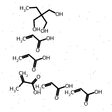 C=C(C)C(=O)O.C=CC(=O)O.C=CC(=O)O.C=CC(=O)O.C=CC(=O)O.CCC(CO)(CO)CO